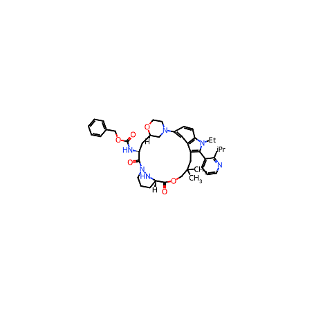 CCn1c(-c2cccnc2C(C)C)c2c3cc(ccc31)N1CCO[C@@H](C[C@H](NC(=O)OCc3ccccc3)C(=O)N3CCC[C@H](N3)C(=O)OCC(C)(C)C2)C1